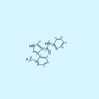 Cc1[nH]cc(-c2ccccc2C(F)(F)F)c1C(=O)Nc1ccccc1